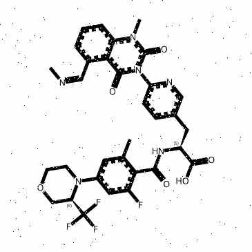 C/N=C\c1cccc2c1c(=O)n(-c1ccc(C[C@H](NC(=O)c3c(C)cc(N4CCOC[C@@H]4C(F)(F)F)cc3F)C(=O)O)cn1)c(=O)n2C